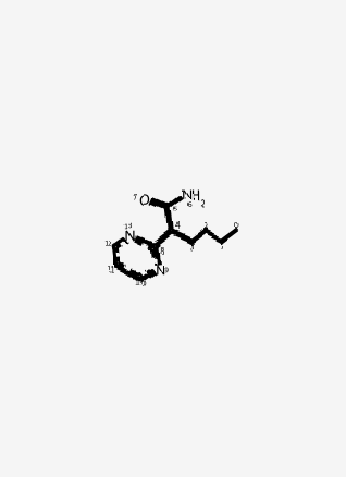 CCCCC(C(N)=O)c1ncccn1